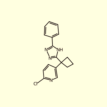 Clc1ccc(C2(c3nnc(-c4ccccc4)[nH]3)CCC2)cn1